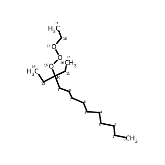 CCCCCCCCCCC(CC)(CC)OOOCC